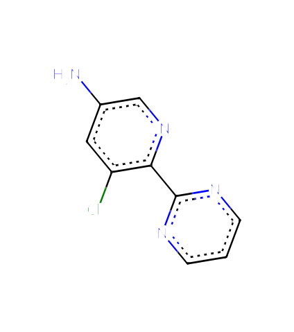 Nc1cnc(-c2ncccn2)c(Cl)c1